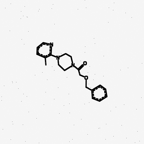 Cc1cccnc1N1CCN(C(=O)COCc2ccccc2)CC1